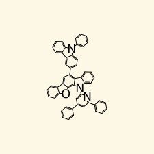 c1ccc(-c2cc(-c3ccccc3)nc(-n3c4ccccc4c4c(-c5ccc6c(c5)c5ccccc5n6-c5ccccc5)cc5c6ccccc6oc5c43)c2)cc1